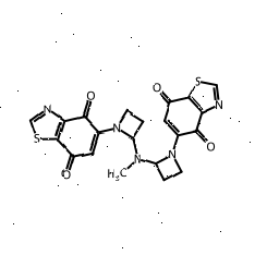 CN(C1CCN1C1=CC(=O)c2scnc2C1=O)C1CCN1C1=CC(=O)c2scnc2C1=O